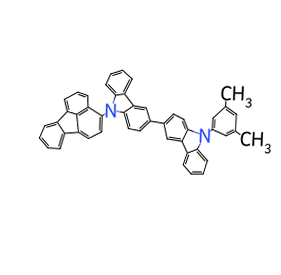 Cc1cc(C)cc(-n2c3ccccc3c3cc(-c4ccc5c(c4)c4ccccc4n5-c4ccc5c6c(cccc46)-c4ccccc4-5)ccc32)c1